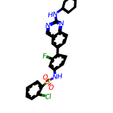 O=S(=O)(Nc1ccc(-c2ccc3nc(NC4CCCCC4)ncc3c2)c(F)c1)c1ccccc1Cl